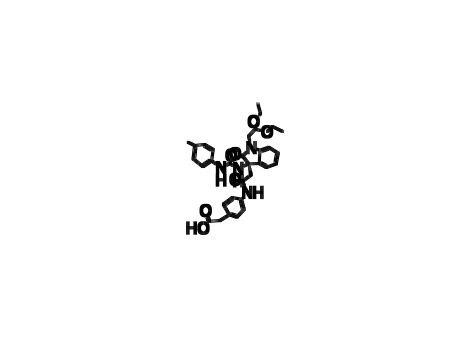 CCOC(CN1C(=O)[C@@](CC(=O)Nc2ccc(CC(=O)O)cc2)(NC(=O)Nc2ccc(C)cc2)c2ccccc21)OCC